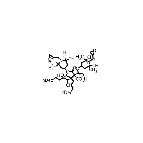 CCCCCCCCCCCCCC(C)C(CCCCCCCCCCCCC)(C(=O)O)C(C(=O)O)(C(=O)OC1CC(C)(C)N(CC2CO2)C(C)(C)C1)C(=O)OC1CC(C)(C)N(CC2CO2)C(C)(C)C1